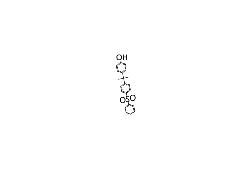 CC(C)(c1ccc(O)cc1)c1ccc(S(=O)(=O)c2ccccc2)cc1